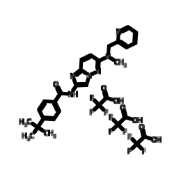 CN(Cc1ccccn1)c1ccc2nc(NC(=O)c3ccc(C(C)(C)C)cc3)cn2n1.O=C(O)C(F)(F)F.O=C(O)C(F)(F)F.O=C(O)C(F)(F)F